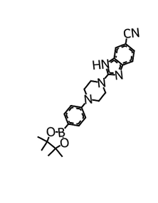 CC1(C)OB(c2ccc(N3CCN(c4nc5ccc(C#N)cc5[nH]4)CC3)cc2)OC1(C)C